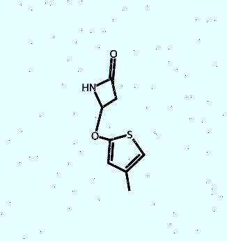 Cc1csc(OC2CC(=O)N2)c1